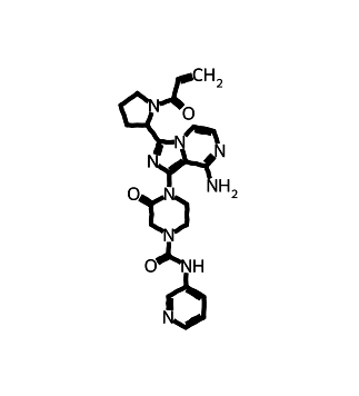 C=CC(=O)N1CCCC1c1nc(N2CCN(C(=O)Nc3cccnc3)CC2=O)c2c(N)nccn12